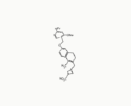 CCCc1cc(OC)c(COc2ccc3c(c2)CCC(CN2CC(C(=O)O)C2)=C3C)cn1